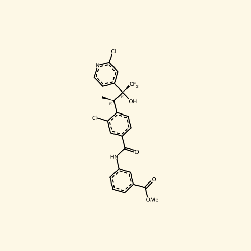 COC(=O)c1cccc(NC(=O)c2ccc([C@@H](C)[C@@](O)(c3ccnc(Cl)c3)C(F)(F)F)c(Cl)c2)c1